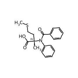 CSCC[C@@](C)(C(=O)O)N(C(=O)c1ccccc1)c1ccccc1